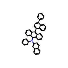 c1ccc(-c2ccc(-c3c4ccccc4c(N(c4ccccc4)c4ccc5ccccc5c4)c4ccccc34)c3ccccc23)cc1